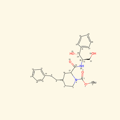 CC(C)(C)OC(=O)N1CCC(CCc2ccccc2)CC1C(=O)N[C@H](CO)[C@H](O)c1ccccc1